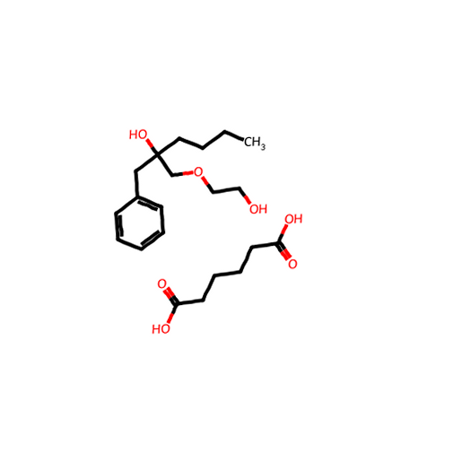 CCCCC(O)(COCCO)Cc1ccccc1.O=C(O)CCCCC(=O)O